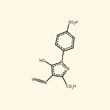 N=Nc1c(C(=O)O)nn(-c2ccc(S(=O)(=O)O)cc2)c1O